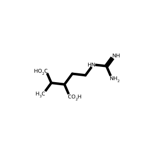 CC(C(=O)O)C(CCNC(=N)N)C(=O)O